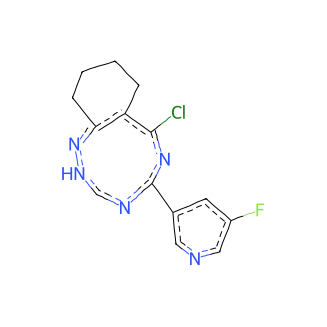 Fc1cncc(-c2nc[nH]nc3c(c(Cl)n2)CCCC3)c1